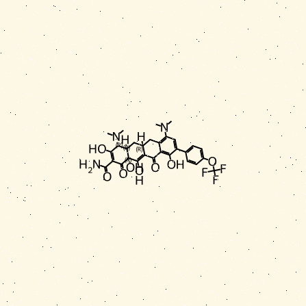 CN(C)c1cc(-c2ccc(OC(F)(F)F)cc2)c(O)c2c1C[C@H]1C[C@@H]3[C@@H](N(C)C)C(O)=C(C(N)=O)C(=O)[C@]3(O)C(O)=C1C2=O